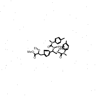 CCCCCCCN(CC(c1ccc(CC(OCC)C(=O)OC)cc1)N(CCCCCCC)C(=O)N(C)c1ccc(C)cc1)C(=O)N(C)c1ccc(C)cc1